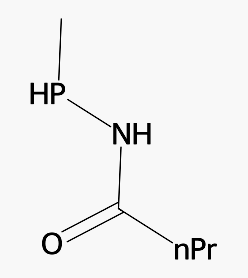 CCCC(=O)NPC